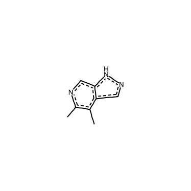 Cc1ncc2[nH]ncc2c1C